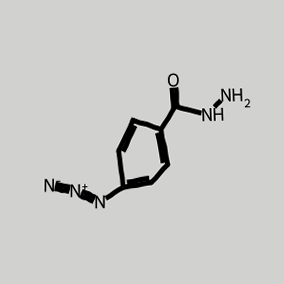 [N-]=[N+]=Nc1ccc(C(=O)NN)cc1